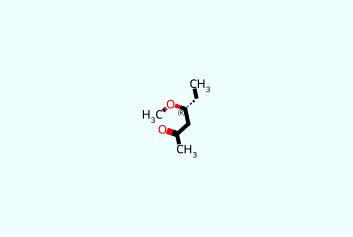 CC[C@H](CC(C)=O)OC